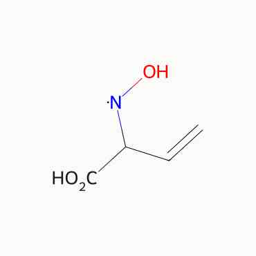 C=CC([N]O)C(=O)O